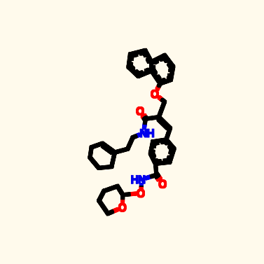 O=C(NCCC1=CCCCC1)C(=Cc1ccc(C(=O)NOC2CCCCO2)cc1)COc1cccc2ccccc12